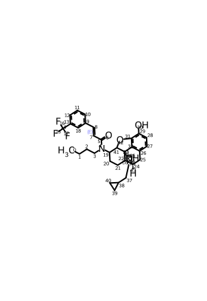 CCCCN(C(=O)/C=C/c1cccc(C(F)(F)F)c1)C1CC[C@@]2(O)[C@H]3Cc4ccc(O)c5c4[C@@]2(CCN3CC2CC2)C1O5